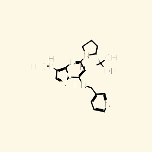 CBc1cnn2c(NCc3cccnc3)cc(N3CCC[C@H]3C(C)(C)O)nc12